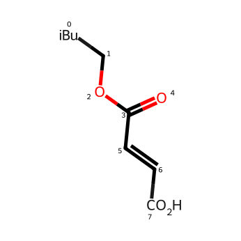 CCC(C)COC(=O)C=CC(=O)O